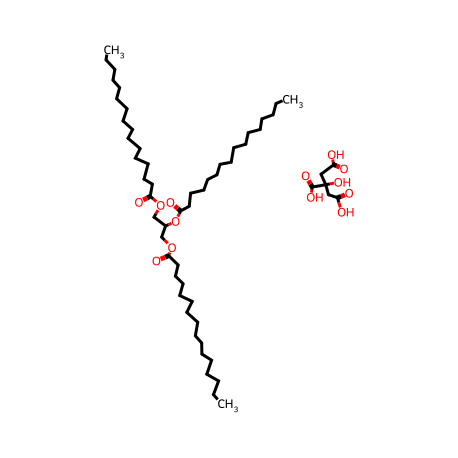 CCCCCCCCCCCCCCCC(=O)OCC(COC(=O)CCCCCCCCCCCCCCC)OC(=O)CCCCCCCCCCCCCCC.O=C(O)CC(O)(CC(=O)O)C(=O)O